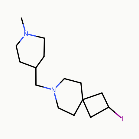 CN1CCC(CN2CCC3(CC2)CC(I)C3)CC1